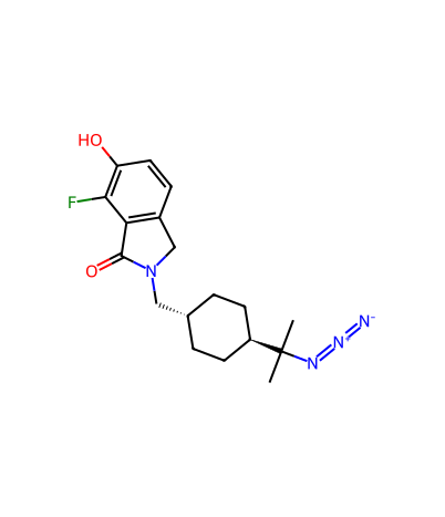 CC(C)(N=[N+]=[N-])[C@H]1CC[C@H](CN2Cc3ccc(O)c(F)c3C2=O)CC1